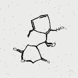 Cc1cccc([N+](=O)[O-])c1C(=O)C1CC(=O)OCC1=O